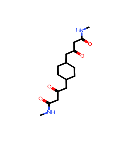 CNC(=O)CC(=O)CC1CCC(CC(=O)CC(=O)NC)CC1